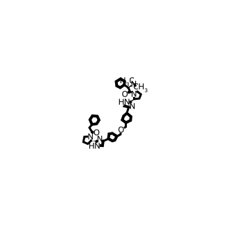 CN(C)[C@@H](C(=O)N1CCC[C@H]1c1nc(-c2ccc(COCc3ccc(-c4c[nH]c([C@@H]5CCCN5C(=O)Cc5ccccc5)n4)cc3)cc2)c[nH]1)c1ccccc1